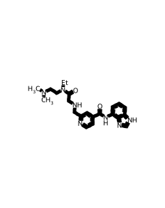 CCN(CCN(C)C)C(=O)CNCc1cc(C(=O)Nc2cccc3[nH]cnc23)ccn1